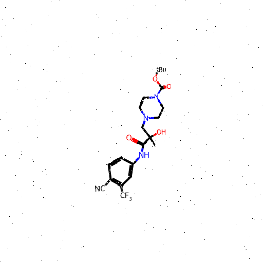 CC(C)(C)OC(=O)N1CCN(CC(C)(O)C(=O)Nc2ccc(C#N)c(C(F)(F)F)c2)CC1